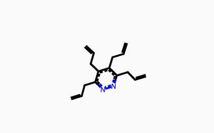 C=CCc1nnc(CC=C)c(CC=C)c1CC=C